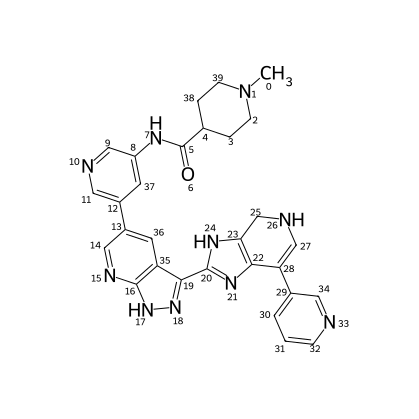 CN1CCC(C(=O)Nc2cncc(-c3cnc4[nH]nc(-c5nc6c([nH]5)CNC=C6c5cccnc5)c4c3)c2)CC1